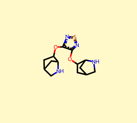 C1NC2CC1CC2Oc1nsnc1OC1CC2CNC1C2